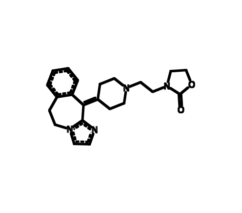 O=C1OCCN1CCN1CCC(=C2c3ccccc3CCn3ccnc32)CC1